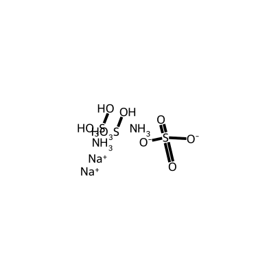 N.N.O=S(=O)(O)O.O=S(=O)(O)O.O=S(=O)([O-])[O-].[Na+].[Na+]